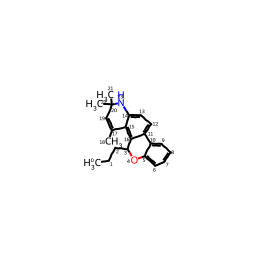 CCCC1Oc2ccccc2-c2ccc3c(c21)C(C)=CC(C)(C)N3